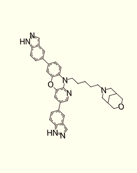 c1cc2c(cc1-c1ccc3[nH]ncc3c1)Oc1cc(-c3ccc4[nH]ncc4c3)cnc1N2CCCCCN1CC2COCC(C2)C1